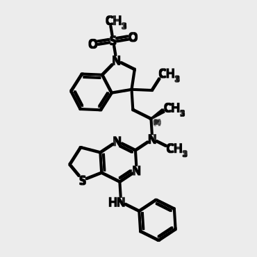 CCC1(C[C@@H](C)N(C)c2nc3c(c(Nc4ccccc4)n2)SCC3)CN(S(C)(=O)=O)c2ccccc21